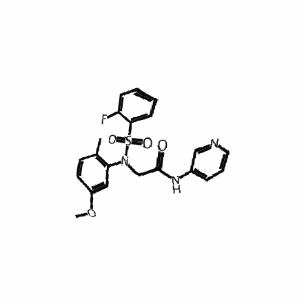 COc1ccc(C)c(N(CC(=O)Nc2cccnc2)S(=O)(=O)c2ccccc2F)c1